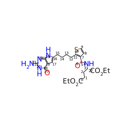 CCOC(=O)CC[C@H](NC(=O)c1ccsc1CCCCc1cc2c(=O)[nH]c(N)nc2[nH]1)C(=O)OCC